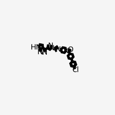 O=C(C1CCC(c2ccc(Cl)cc2)CC1)N1CCC(N2CC(n3cc(-c4ncnc5[nH]ccc45)cn3)C2)CC1